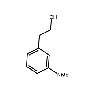 CNc1cccc(CCO)c1